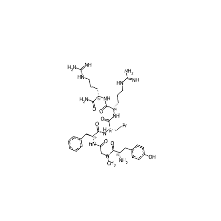 CC(C)C[C@H](NC(=O)[C@H](Cc1ccccc1)NC(=O)CN(C)C(=O)[C@@H](N)Cc1ccc(O)cc1)C(=O)N[C@@H](CCCNC(=N)N)C(=O)N[C@@H](CCCNC(=N)N)C(N)=O